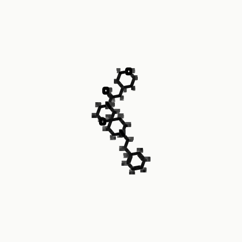 O=C(CC1CCOCC1)N1CCOC2(CCN(CCc3ccccc3)CC2)C1